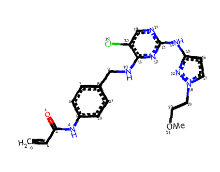 C=CC(=O)Nc1ccc(CNc2nc(Nc3ccn(CCOC)n3)ncc2Cl)cc1